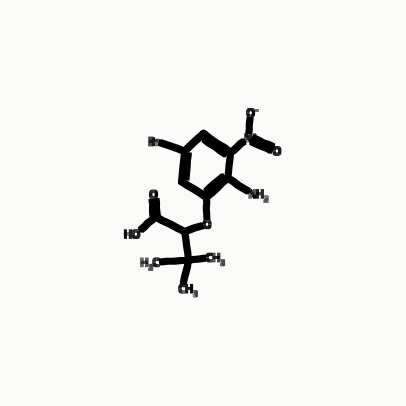 CC(C)(C)C(Oc1cc(Br)cc([N+](=O)[O-])c1N)C(=O)O